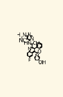 CC(Nc1ncnc(N)c1C#N)c1nc2ccc(F)cc2c(C(=O)N2CCC(O)C2)c1-c1ccccc1